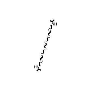 CC(C)NCCOCCOCCOCCOCCOCCOCCNC(C)C